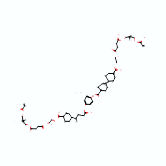 C=CC(=O)OCC(C)(C)COC(=O)CCC(=O)OCCOC(=O)C1CCC(C(CCC)CCC(=O)Oc2ccc(OC(=O)C3CCC(C4CCC(C(=O)OCCOC(=O)CCC(=O)OCC(C)(C)COC(=O)C=C)CC4)CC3)c(OC)c2)CC1